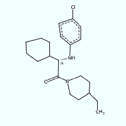 CCC1CCN(C(=O)[C@@H](Nc2ccc(Cl)cc2)C2CCCCC2)CC1